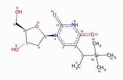 CC(c1cn([C@H]2C[C@H](O)[C@@H](CO)O2)c(=O)[nH]c1=O)[Si](C)(C)C